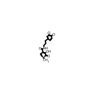 Cn1ccc(C(=O)NCCCc2ccc(Cl)c(Cl)c2)c(O)c1=O